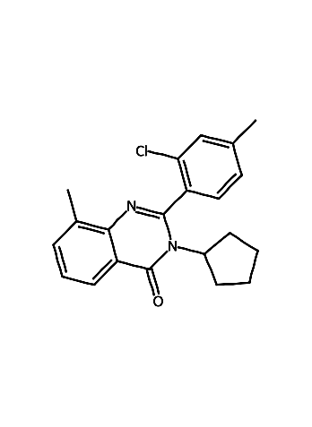 Cc1ccc(-c2nc3c(C)cccc3c(=O)n2C2CCCC2)c(Cl)c1